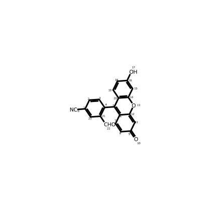 N#Cc1ccc(-c2c3ccc(=O)cc-3oc3cc(O)ccc23)c(C=O)c1